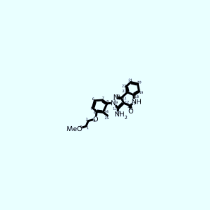 COCCOc1cccc(-n2nc3c(c2N)c(=O)[nH]c2ccccc23)c1C